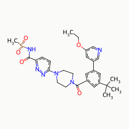 CCOc1cncc(-c2cc(C(=O)N3CCN(c4ccc(C(=O)NS(C)(=O)=O)nn4)CC3)cc(C(C)(C)C)c2)c1